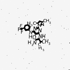 Cc1cc(C)n(-c2nc(Nc3cccc(C(F)(F)F)c3)cc(N[C@@H](C(N)=O)C(C)C)n2)n1